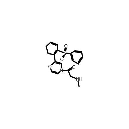 CNCC(=O)N1C=COC(C2=C(S(=O)(=O)c3ccccc3)C=CCC2)=C1